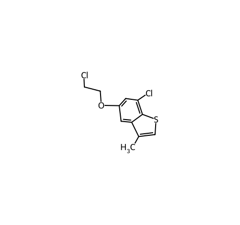 Cc1csc2c(Cl)cc(OCCCl)cc12